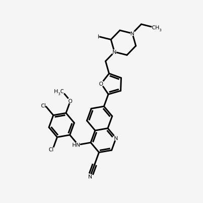 CCN1CCN(Cc2ccc(-c3ccc4c(Nc5cc(OC)c(Cl)cc5Cl)c(C#N)cnc4c3)o2)C(I)C1